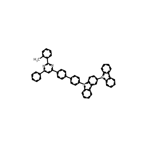 Cc1ccccc1-c1nc(-c2ccccc2)cc(-c2ccc(-c3ccc(-n4c5ccccc5c5cc(-n6c7ccccc7c7ccccc76)ccc54)cc3)cc2)n1